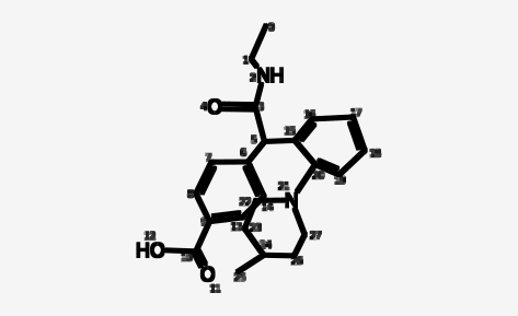 CCNC(=O)C(c1ccc(C(=O)O)cc1)c1ccccc1N1CCC(C)CC1